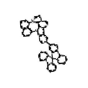 c1ccc(-n2ccc3ccc4c5cc(-c6ccc7c(c6)C6(c8ccccc8-c8ccccc86)c6ccccc6-7)ccc5n(-c5ccccc5)c4c32)cc1